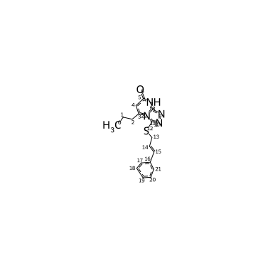 CCCc1cc(=O)[nH]c2nnc(SC/C=C/c3ccccc3)n12